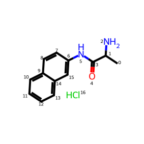 CC(N)C(=O)Nc1ccc2ccccc2c1.Cl